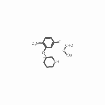 CC(C)(C)OC=O.O=[N+]([O-])c1ccc(F)cc1O[C@@H]1CCCNC1